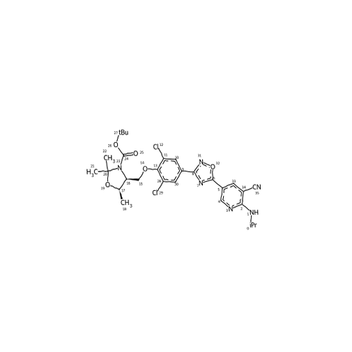 CC(C)Nc1ncc(-c2nc(-c3cc(Cl)c(OC[C@H]4[C@@H](C)OC(C)(C)N4C(=O)OC(C)(C)C)c(Cl)c3)no2)cc1C#N